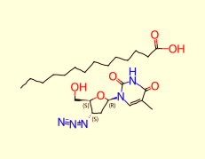 CCCCCCCCCCCCCC(=O)O.Cc1cn([C@H]2C[C@H](N=[N+]=[N-])[C@@H](CO)O2)c(=O)[nH]c1=O